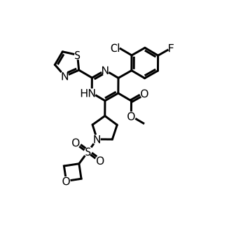 COC(=O)C1=C(C2CCN(S(=O)(=O)C3COC3)C2)NC(c2nccs2)=NC1c1ccc(F)cc1Cl